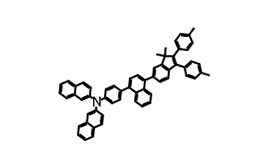 Cc1ccc(C2=C(c3ccc(C)cc3)C(C)(C)c3cc(-c4ccc(-c5ccc(N(c6ccc7ccccc7c6)c6ccc7ccccc7c6)cc5)c5ccccc45)ccc32)cc1